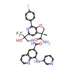 C[C@]1(C(N)=O)COc2c1cc(C(O)(CNC(=O)c1cc(Nc3cccnc3)c3ncccc3c1)C(F)(F)F)nc2-c1ccc(F)cc1